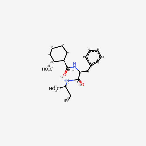 CC(C)C[C@H](NC(=O)[C@H](Cc1ccccc1)NC(=O)[C@@H]1CCCC[C@H]1C(=O)O)C(=O)O